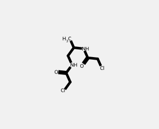 CC(CNC(=O)CCl)NC(=O)CCl